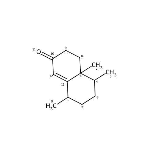 CC1CCC(C)C2(C)CCC(=O)C=C12